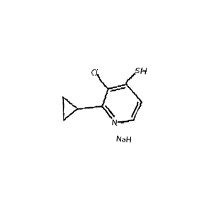 Sc1ccnc(C2CC2)c1Cl.[NaH]